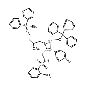 CC(=O)OC(CCO[Si](c1ccccc1)(c1ccccc1)C(C)(C)C)CN1[C@H](COC(c2ccccc2)(c2ccccc2)c2ccccc2)[C@H](c2ccc(Br)cc2)[C@@H]1CNS(=O)(=O)c1ccccc1[N+](=O)[O-]